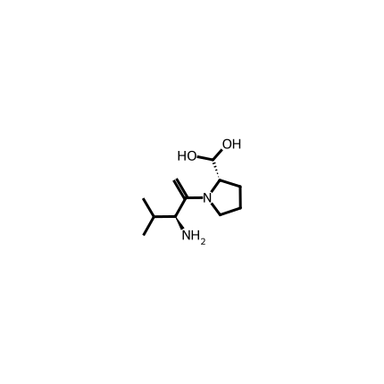 C=C([C@@H](N)C(C)C)N1CCC[C@H]1C(O)O